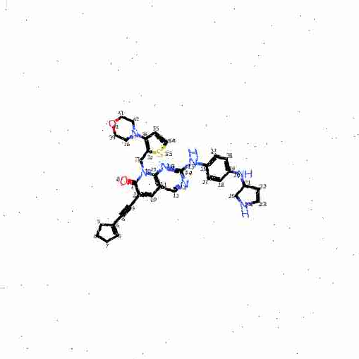 O=c1c(C#CC2=CCCC2)cc2cnc(Nc3ccc(NC4CCNC4)cc3)nc2n1Cc1sccc1N1CCOCC1